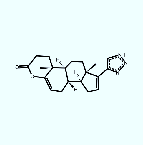 C[C@]12CCC(=O)OC1=CC[C@@H]1[C@@H]2CC[C@]2(C)C(c3c[nH]nn3)=CC[C@@H]12